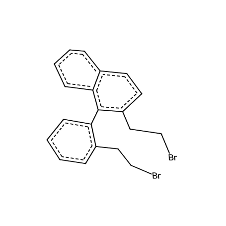 BrCCc1ccccc1-c1c(CCBr)ccc2ccccc12